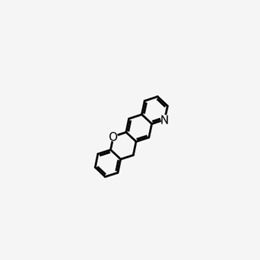 c1ccc2c(c1)Cc1cc3ncccc3cc1O2